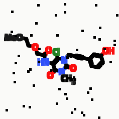 COCCOCC(=O)Nc1c(Cl)n(CC#Cc2cccc(O)c2)c(=O)n(C)c1=O